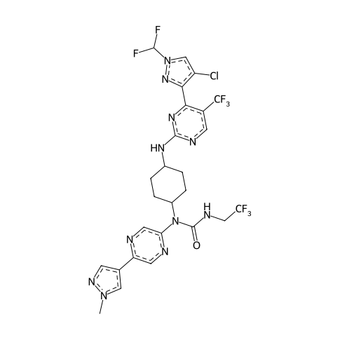 Cn1cc(-c2cnc(N(C(=O)NCC(F)(F)F)C3CCC(Nc4ncc(C(F)(F)F)c(-c5nn(C(F)F)cc5Cl)n4)CC3)cn2)cn1